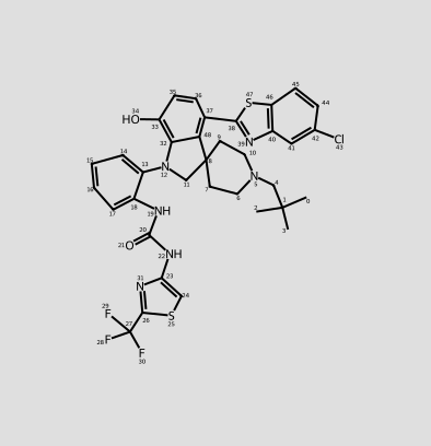 CC(C)(C)CN1CCC2(CC1)CN(c1ccccc1NC(=O)Nc1csc(C(F)(F)F)n1)c1c(O)ccc(-c3nc4cc(Cl)ccc4s3)c12